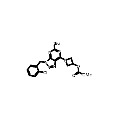 COC(=O)OC1CN(c2nc(C(C)(C)C)nc3c2nnn3Cc2ccccc2Cl)C1